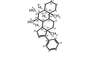 C[C@H]1CC[C@@]2(C)[C@H](C1)[C@@H](O)[C@H](O)C1[C@@H]2CC[C@]2(C)C(c3ccccc3)=CC[C@@H]12